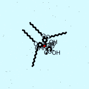 CCCCCCCCCCOc1ccc(C(=O)N[C@H]2[C@@H](OC)O[C@H](CO)[C@@H](OS(=O)(=O)O)[C@@H]2OC(=O)c2ccc(OCCCCCCCCCC)c(OCCCCCCCCCC)c2)cc1OCCCCCCCCCC